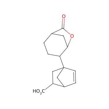 O=C1OC2CC1CCC2C12C=CC(C1)C(C(=O)O)C2